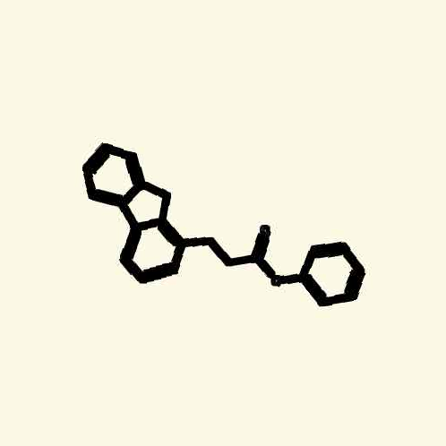 O=C(CCc1cccc2c1Cc1ccccc1-2)Oc1ccccc1